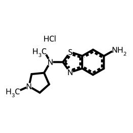 CN1CCC(N(C)c2nc3ccc(N)cc3s2)C1.Cl